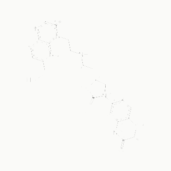 COc1ccc2ncc(=O)n(CCNCC[C@@H]3CN(c4ccc5c(c4)NC(=O)CS5)C(=O)O3)c2n1